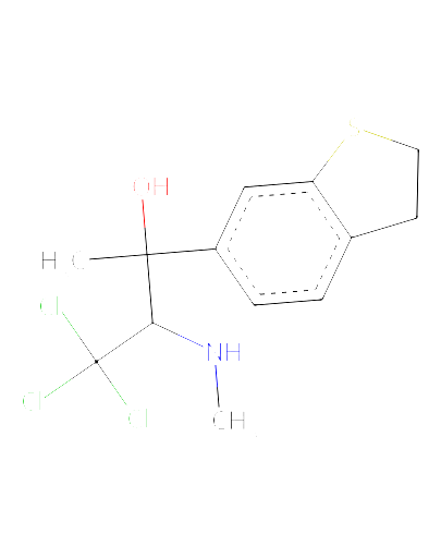 CNC(C(Cl)(Cl)Cl)C(C)(O)c1ccc2c(c1)SCC2